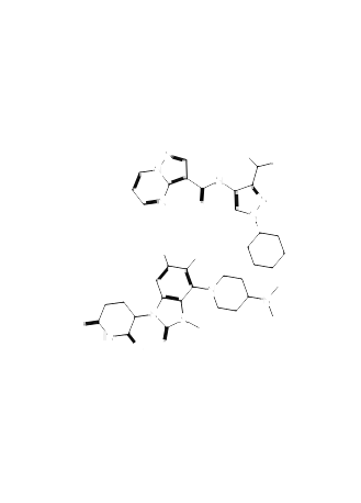 CN(C[C@H]1CC[C@H](n2cc(NC(=O)c3cnn4cccnc34)c(C(F)F)n2)CC1)C1CCN(c2c(F)c(F)cc3c2n(C)c(=O)n3C2CCC(=O)NC2=O)CC1